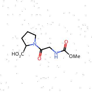 COC(=O)NCC(=O)N1CCCC1C(=O)O